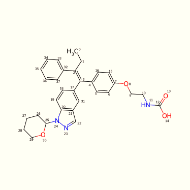 CCC(=C(c1ccc(OCCNC(=O)O)cc1)c1ccc2c(cnn2C2CCCCO2)c1)c1ccccc1